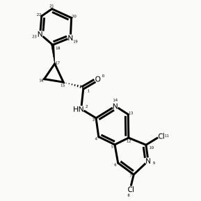 O=C(Nc1cc2cc(Cl)nc(Cl)c2cn1)[C@@H]1C[C@H]1c1ncccn1